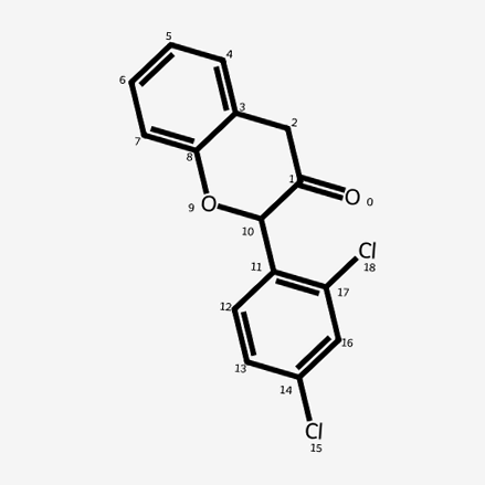 O=C1Cc2ccccc2OC1c1ccc(Cl)cc1Cl